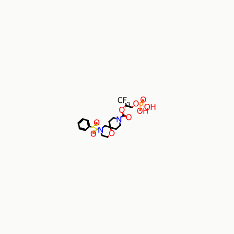 O=C(OC(COP(=O)(O)O)C(F)(F)F)N1CCC2(CC1)CN(S(=O)(=O)c1ccccc1)CCO2